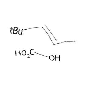 CC=CC(C)(C)C.O=C(O)O